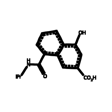 CC(C)NC(=O)c1cccc2c(O)cc(C(=O)O)cc12